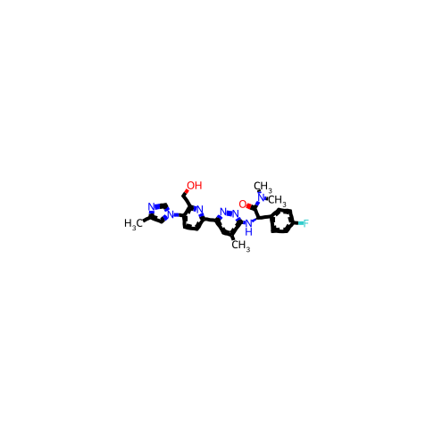 Cc1cn(-c2ccc(-c3cc(C)c(N[C@@H](C(=O)N(C)C)c4ccc(F)cc4)nn3)nc2CO)cn1